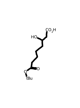 CC(C)(C)OC(=O)CCCCC(O)CC(=O)O